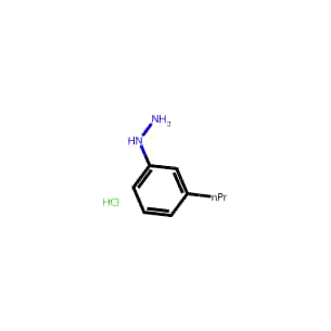 CCCc1cccc(NN)c1.Cl